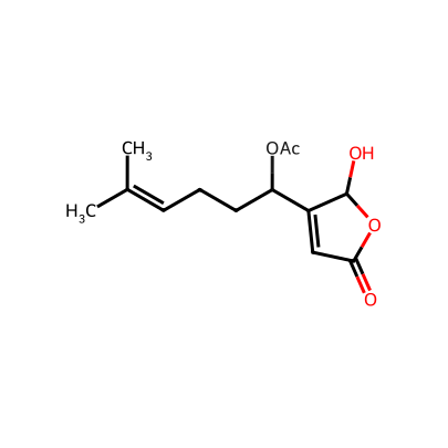 CC(=O)OC(CCC=C(C)C)C1=CC(=O)OC1O